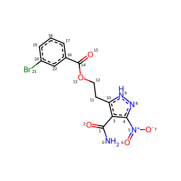 NC(=O)c1c([N+](=O)[O-])n[nH]c1CCOC(=O)c1cccc(Br)c1